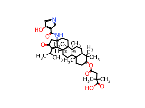 CC(C)C1=C2[C@H]3CCC4C5(C)CC[C@H](OC(=O)CC(C)(C)C(=O)O)C(C)(C)C5CC[C@@]4(C)[C@]3(C)CC[C@@]2(NC(=O)c2cnccc2O)CC1=O